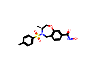 Cc1ccc(S(=O)(=O)N2Cc3ccc(C(=O)NO)cc3OC[C@@H]2C)cc1